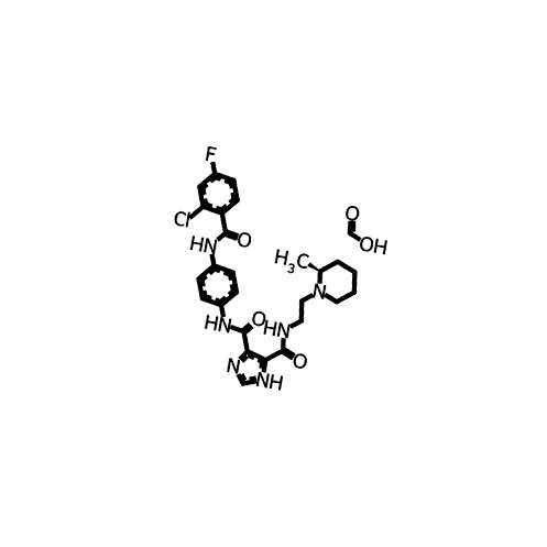 C[C@H]1CCCCN1CCNC(=O)c1[nH]cnc1C(=O)Nc1ccc(NC(=O)c2ccc(F)cc2Cl)cc1.O=CO